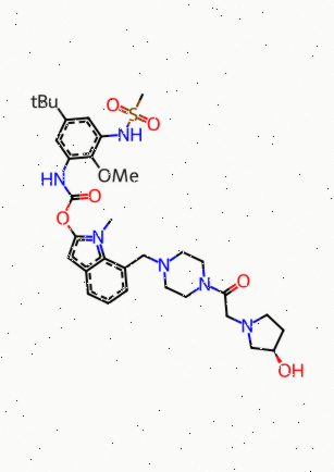 COc1c(NC(=O)Oc2cc3cccc(CN4CCN(C(=O)CN5CC[C@@H](O)C5)CC4)c3n2C)cc(C(C)(C)C)cc1NS(C)(=O)=O